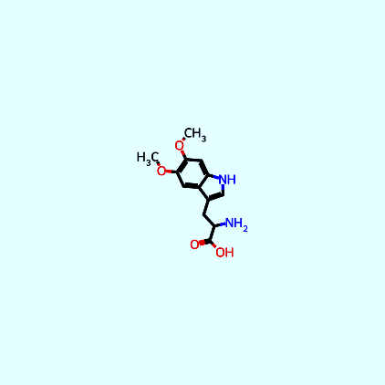 COc1cc2[nH]cc(CC(N)C(=O)O)c2cc1OC